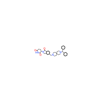 O=C1CCC(N2Cc3cc(CN4CCC5(CC4)CCN(C(c4ccccc4)c4ccccc4)CC5)ccc3C2=O)C(=O)N1